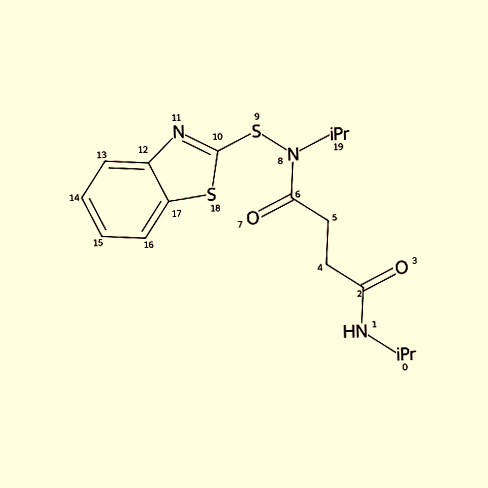 CC(C)NC(=O)CCC(=O)N(Sc1nc2ccccc2s1)C(C)C